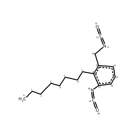 CCCCCCCCc1c(CN=C=O)cccc1N=C=O